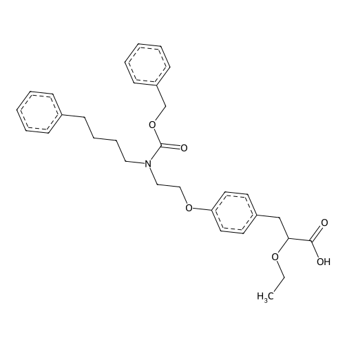 CCOC(Cc1ccc(OCCN(CCCCc2ccccc2)C(=O)OCc2ccccc2)cc1)C(=O)O